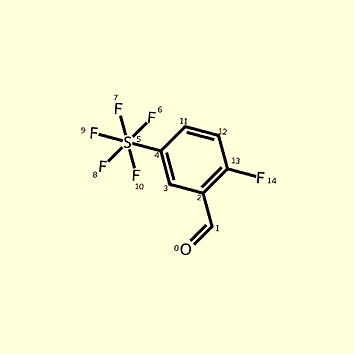 O=Cc1cc(S(F)(F)(F)(F)F)ccc1F